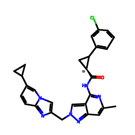 Cc1cc2nn(Cc3cn4cc(C5CC5)ccc4n3)cc2c(NC(=O)[C@H]2CC2c2cccc(Cl)c2)n1